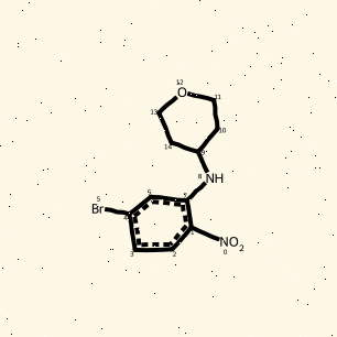 O=[N+]([O-])c1ccc(Br)cc1NC1CCOCC1